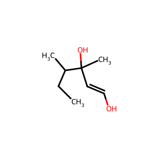 CCC(C)C(C)(O)C=CO